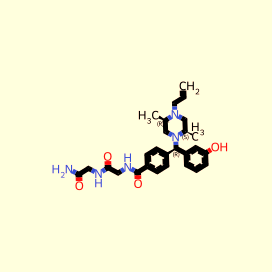 C=CCN1C[C@H](C)N([C@H](c2ccc(C(=O)NCC(=O)NCC(N)=O)cc2)c2cccc(O)c2)C[C@H]1C